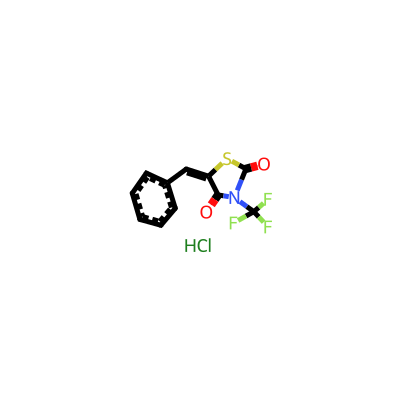 Cl.O=C1SC(=Cc2ccccc2)C(=O)N1C(F)(F)F